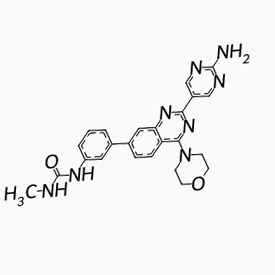 CNC(=O)Nc1cccc(-c2ccc3c(N4CCOCC4)nc(-c4cnc(N)nc4)nc3c2)c1